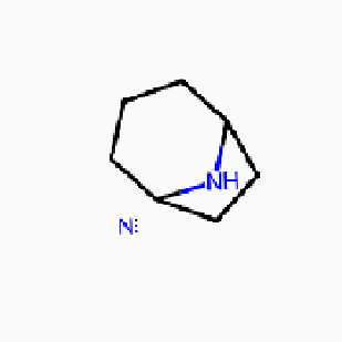 C1CC2CCC(C1)N2.[N]